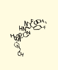 C#CCN1CCCC(C(=O)N=S(C)(=O)Cc2ccnc(Nc3cc(-c4ccc(F)cc4OC)c(F)cn3)c2)C1